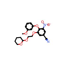 COc1cccc(Oc2c(OCCOC3CCCCO3)cc(C#N)cc2[N+](=O)[O-])c1